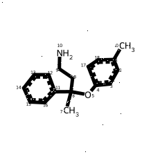 Cc1ccc(OC(C)(CCN)c2ccccc2)cc1